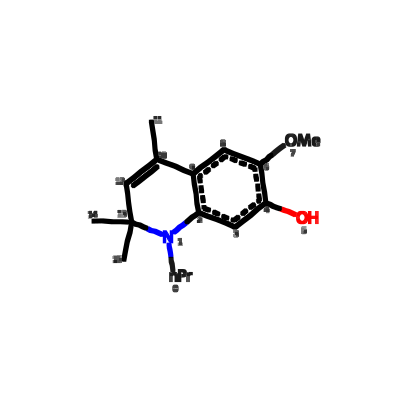 CCCN1c2cc(O)c(OC)cc2C(C)=CC1(C)C